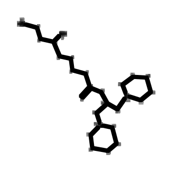 C=C(CCCCC(S)CCS)CC(CN1CCCCC1)CN1CCCCC1